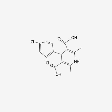 CC1=C(C(=O)O)C(c2ccc(Cl)cc2Cl)C(C(=O)O)=C(C)N1